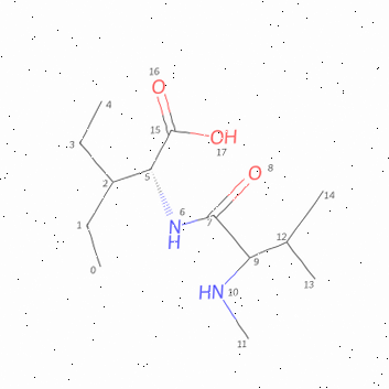 CCC(CC)[C@@H](NC(=O)C(NC)C(C)C)C(=O)O